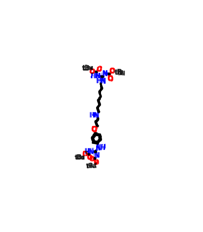 CC(C)(C)OC(=O)/N=C(\NC(=O)OC(C)(C)C)Nc1ccc(OCCCNCCCCCCCCN/C(=N\C(=O)OC(C)(C)C)NC(=O)OC(C)(C)C)cc1